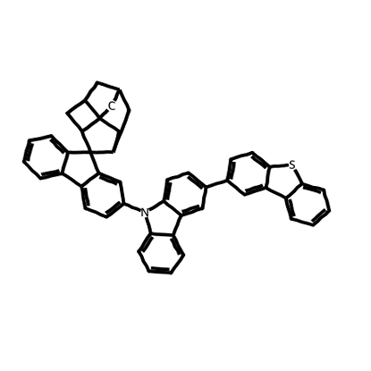 c1ccc2c(c1)-c1ccc(-n3c4ccccc4c4cc(-c5ccc6sc7ccccc7c6c5)ccc43)cc1C21C2CC3CC4CC1C4(C3)C2